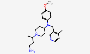 Cc1ccncc1CN(c1ccc(OC(F)(F)F)cc1)C1CCN([C@H](C)CCN)CC1